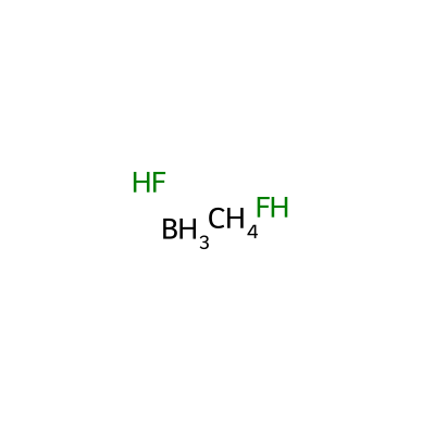 B.C.F.F